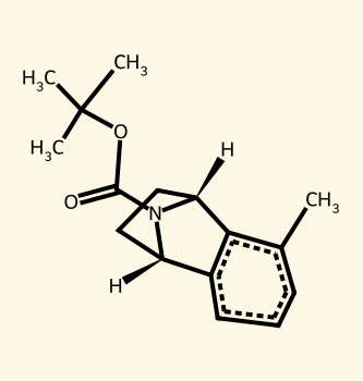 Cc1cccc2c1[C@H]1CC[C@@H]2N1C(=O)OC(C)(C)C